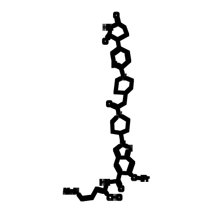 CN/C=C\C=C(/C=O)NC(=O)c1cc2cn(C3CCN(C(=O)CC4CCN(c5ccc(C6CCC(=O)NC6=O)cn5)CC4)CC3)nc2cc1OC(C)C